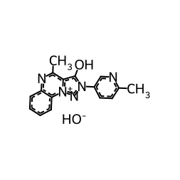 Cc1ccc(-n2n[n+]3c(c(C)nc4ccccc43)c2O)cn1.[OH-]